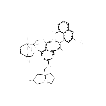 Oc1cc(-c2nc3c4c(nc(OC[C@@]56CCCN5C[C@@H](F)C6)nc4c2F)N2C[C@H]4CC[C@H](N4)[C@@H]2CO3)c2c(F)cccc2c1